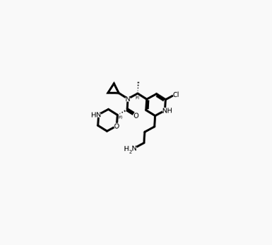 C[C@H](C1=CC(CCCN)NC(Cl)=C1)N(C(=O)[C@H]1CNCCO1)C1CC1